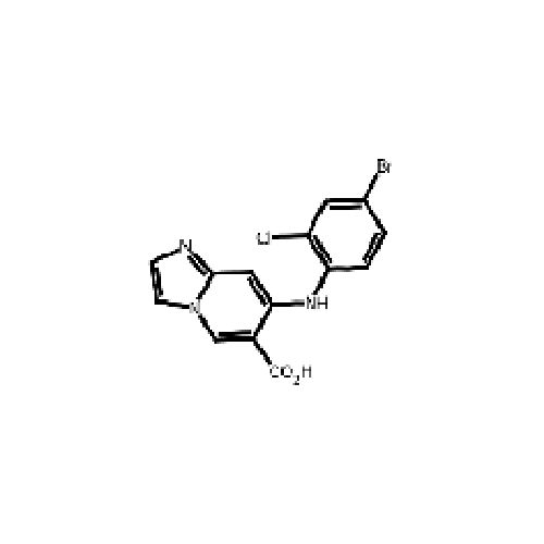 O=C(O)c1cn2ccnc2cc1Nc1ccc(Br)cc1Cl